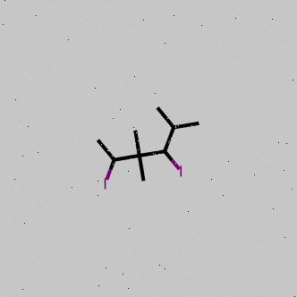 CC(C)C(I)C(C)(C)C(C)I